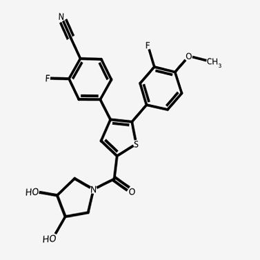 COc1ccc(-c2sc(C(=O)N3CC(O)C(O)C3)cc2-c2ccc(C#N)c(F)c2)cc1F